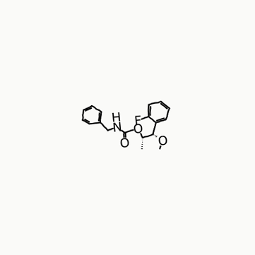 CO[C@@H](c1ccccc1F)[C@H](C)OC(=O)NCc1ccccc1